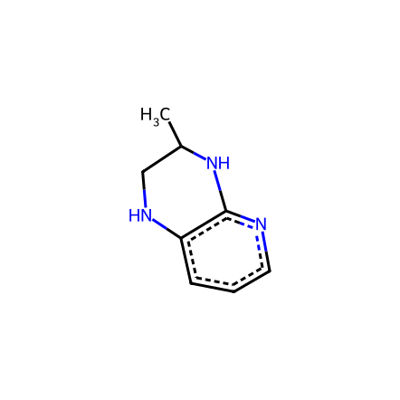 CC1CNc2cccnc2N1